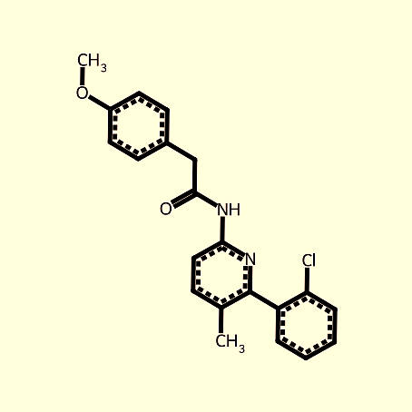 COc1ccc(CC(=O)Nc2ccc(C)c(-c3ccccc3Cl)n2)cc1